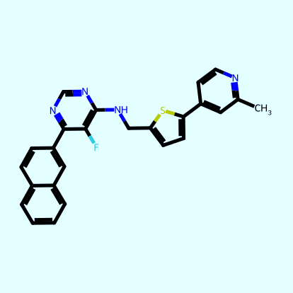 Cc1cc(-c2ccc(CNc3ncnc(-c4ccc5ccccc5c4)c3F)s2)ccn1